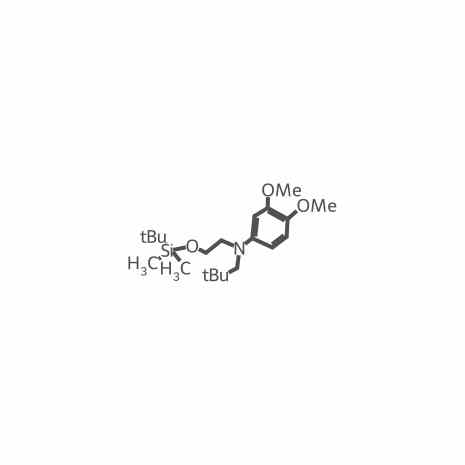 COc1ccc(N(CCO[Si](C)(C)C(C)(C)C)CC(C)(C)C)cc1OC